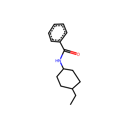 CCC1CCC(NC(=O)c2ccccc2)CC1